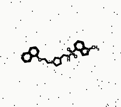 Cn1ccc2c(S(=O)(=O)NCC3CCN(CCOc4cccc5ccccc45)C3)cccc21